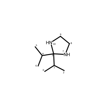 CC(C)C1(C(C)C)NCCN1